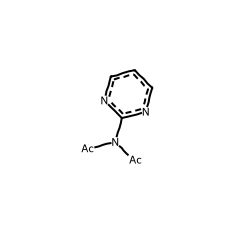 CC(=O)N(C(C)=O)c1ncccn1